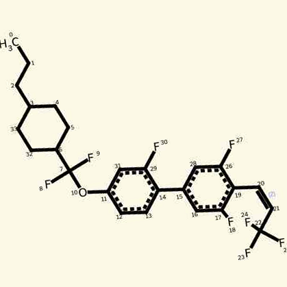 CCCC1CCC(C(F)(F)Oc2ccc(-c3cc(F)c(/C=C\C(F)(F)F)c(F)c3)c(F)c2)CC1